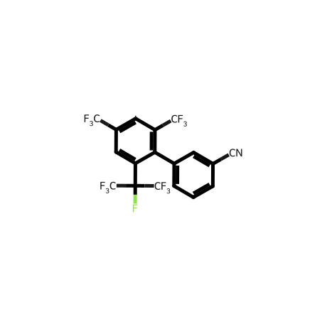 N#Cc1cccc(-c2c(C(F)(F)F)[c]c(C(F)(F)F)cc2C(F)(C(F)(F)F)C(F)(F)F)c1